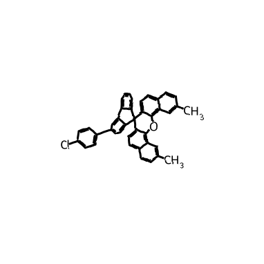 Cc1ccc2ccc3c(c2c1)Oc1c(ccc2ccc(C)cc12)C31c2ccccc2-c2cc(-c3ccc(Cl)cc3)ccc21